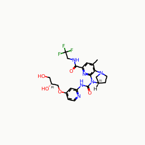 Cc1cc(C(=O)NCC(F)(F)F)nc2c1N1CC[C@@H](C1)N2C(=O)Nc1cc(OC[C@H](O)CO)ccn1